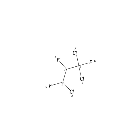 FC(Cl)C(F)C(F)(Cl)Cl